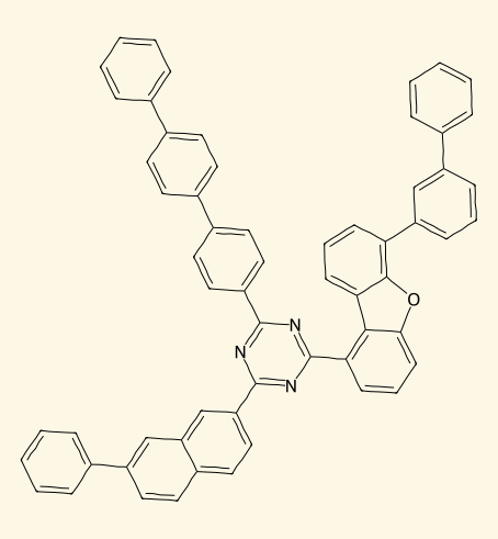 c1ccc(-c2ccc(-c3ccc(-c4nc(-c5ccc6ccc(-c7ccccc7)cc6c5)nc(-c5cccc6oc7c(-c8cccc(-c9ccccc9)c8)cccc7c56)n4)cc3)cc2)cc1